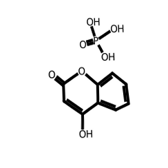 O=P(O)(O)O.O=c1cc(O)c2ccccc2o1